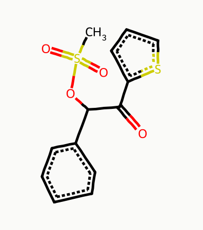 CS(=O)(=O)OC(C(=O)c1cccs1)c1ccccc1